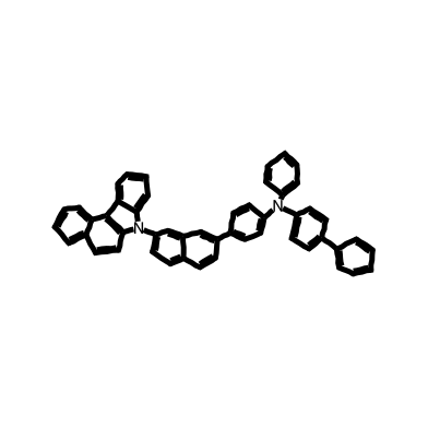 c1ccc(-c2ccc(N(c3ccccc3)c3ccc(-c4ccc5ccc(-n6c7ccccc7c7c8ccccc8ccc76)cc5c4)cc3)cc2)cc1